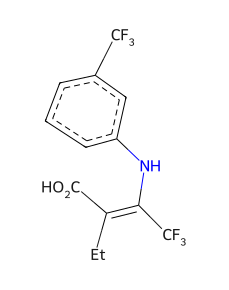 CCC(C(=O)O)=C(Nc1cccc(C(F)(F)F)c1)C(F)(F)F